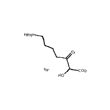 CCCCCCCCCCCC(=O)C(O)C(=O)[O-].[Na+]